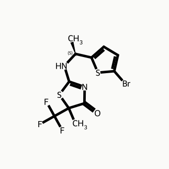 C[C@H](NC1=NC(=O)C(C)(C(F)(F)F)S1)c1ccc(Br)s1